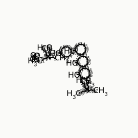 CCCC[N+](CCCC)(CCCC)CCCC.CCCC[N+](CCCC)(CCCC)CCCC.O=S(=O)([O-])[O-].OC1CCCCCCCCCCC1.OC1CCCCCCCCCCC1.OC1CCCCCCCCCCC1.OC1CCCCCCCCCCC1